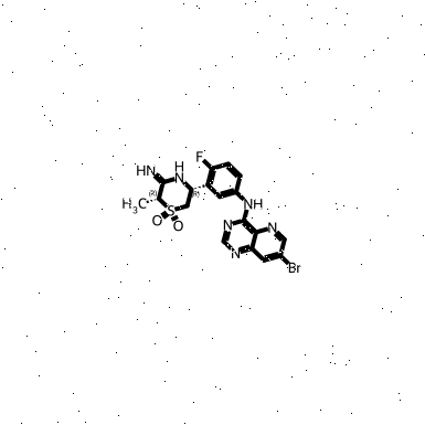 C[C@@H]1C(=N)N[C@H](c2cc(Nc3ncnc4cc(Br)cnc34)ccc2F)CS1(=O)=O